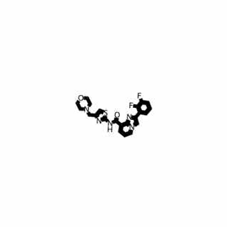 O=C(Nc1nc(CN2CCOCC2)cs1)c1cccn2cc(-c3cccc(F)c3F)nc12